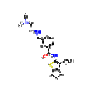 CCOC(=O)c1c(NC(=O)c2cccc(CNCCN(CC)CC)c2)sc2c1CCC2